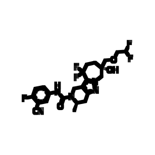 C[C@@H]1Cc2nn3c(c2CN1C(=O)Nc1ccc(F)c(C#N)c1)C(F)(F)CC[C@@](O)(COCC(F)F)C3